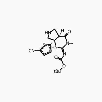 [C-]#[N+]c1ccc([C@]23CNC[C@H]2C(=O)N(C)/C(=N/C(=O)OC(C)(C)C)N3)s1